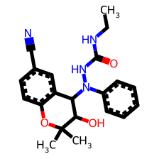 CCNC(=O)NN(c1ccccc1)C1c2cc(C#N)ccc2OC(C)(C)C1O